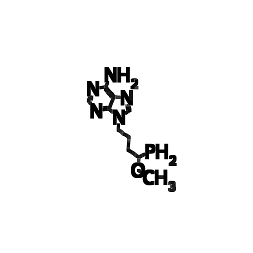 COC(P)CCCn1cnc2c(N)ncnc21